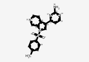 Cc1ccc(S(=O)(=O)n2cc(-c3ccnc(N)n3)c3ccncc32)cc1